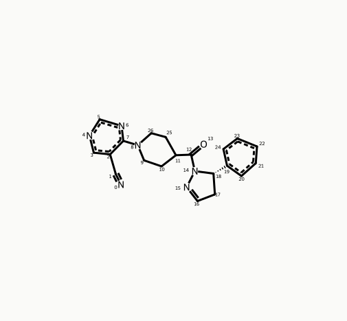 N#Cc1cncnc1N1CCC(C(=O)N2N=CC[C@H]2c2ccccc2)CC1